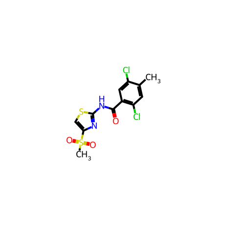 Cc1cc(Cl)c(C(=O)Nc2nc(S(C)(=O)=O)cs2)cc1Cl